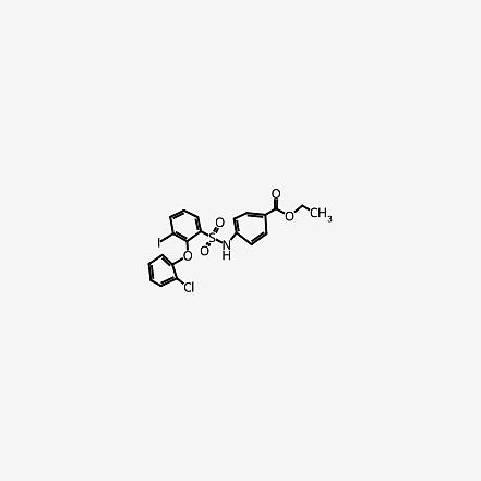 CCOC(=O)c1ccc(NS(=O)(=O)c2cccc(I)c2Oc2ccccc2Cl)cc1